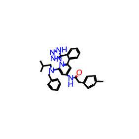 Cc1ccc(CC(=O)Nc2cc(-c3ccccc3-c3nnn[nH]3)nc(N(Cc3ccccc3)CC(C)C)c2)cc1